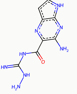 N=C(NN)NC(=O)c1nc2cc[nH]c2nc1N